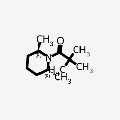 C[C@@H]1CCC[C@@H](C)N1C(=O)C(C)(C)C